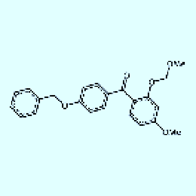 COCOc1cc(OC)ccc1C(=O)c1ccc(OCc2ccccc2)cc1